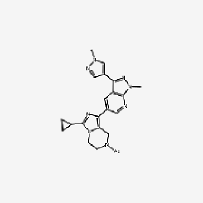 CC(=O)N1CCn2c(C3CC3)nc(-c3cnc4c(c3)c(-c3cnn(C)c3)nn4C)c2C1